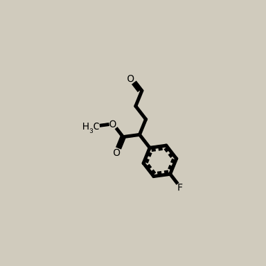 COC(=O)C(CCC=O)c1ccc(F)cc1